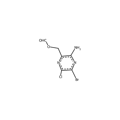 Nc1nc(Br)c(Cl)nc1COC=O